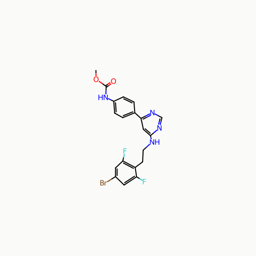 COC(=O)Nc1ccc(-c2cc(NCCc3c(F)cc(Br)cc3F)ncn2)cc1